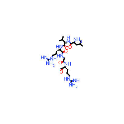 CC(C)C[C@H](N)C(=O)N[C@H](C(=O)N[C@@H](CCCNC(=N)N)C(=O)NCC(=O)N[C@H]([C]=O)CCCNC(=N)N)C(C)C